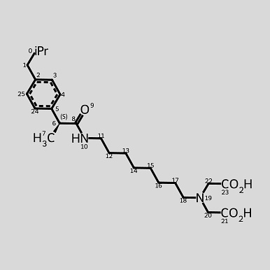 CC(C)Cc1ccc([C@H](C)C(=O)NCCCCCCCCN(CC(=O)O)CC(=O)O)cc1